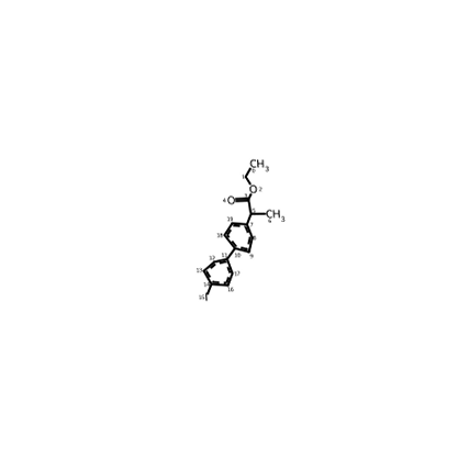 CCOC(=O)C(C)c1ccc(-c2ccc(I)cc2)cc1